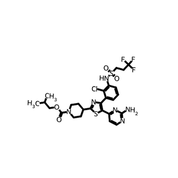 CC(C)COC(=O)N1CCC(c2nc(-c3cccc(NS(=O)(=O)CCC(F)(F)F)c3Cl)c(-c3ccnc(N)n3)s2)CC1